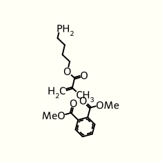 C=C(C)C(=O)OCCCCP.COC(=O)c1ccccc1C(=O)OC